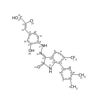 Cc1ccc(-c2c(C(F)(F)F)ccc3c2NC(=O)C3=NNc2ccc(C=C(Cl)C(=O)O)cc2O)cc1C